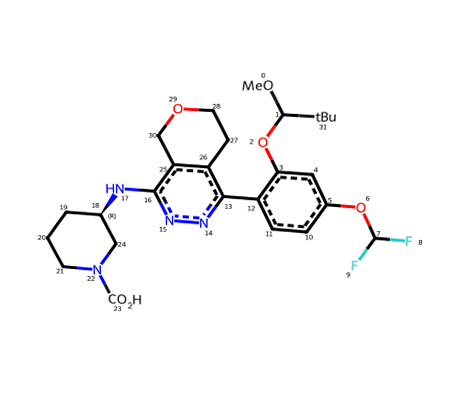 COC(Oc1cc(OC(F)F)ccc1-c1nnc(N[C@@H]2CCCN(C(=O)O)C2)c2c1CCOC2)C(C)(C)C